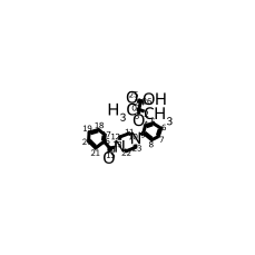 CC(C)(Oc1ccccc1N1CCN(C(=O)c2ccccc2)CC1)C(=O)O